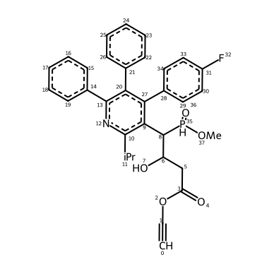 C#COC(=O)CC(O)C(c1c(C(C)C)nc(-c2ccccc2)c(-c2ccccc2)c1-c1ccc(F)cc1)[PH](=O)OC